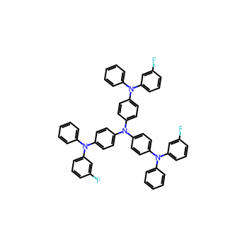 Fc1cccc(N(c2ccccc2)c2ccc(N(c3ccc(N(c4ccccc4)c4cccc(F)c4)cc3)c3ccc(N(c4ccccc4)c4cccc(F)c4)cc3)cc2)c1